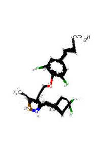 O=C(O)CCc1cc(F)c(OCc2c(C3CC(F)(F)C3)nsc2C(F)(F)F)c(F)c1